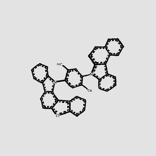 N#Cc1cc(-n2c3ccccc3c3ccc4oc5ccccc5c4c32)c(C#N)cc1-n1c2ccccc2c2c3ccccc3ccc21